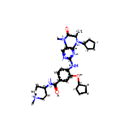 CCC1C(=O)N(C)c2cnc(Nc3ccc(C(=O)NC4CCN(C)CC4)cc3OC3CCCC3)nc2N1C1CCCC1